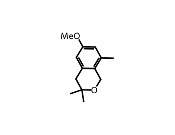 COc1cc(C)c2c(c1)CC(C)(C)OC2